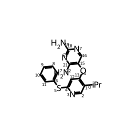 CC(C)c1cnc(Sc2ccccc2)cc1Oc1cnc(N)nc1N